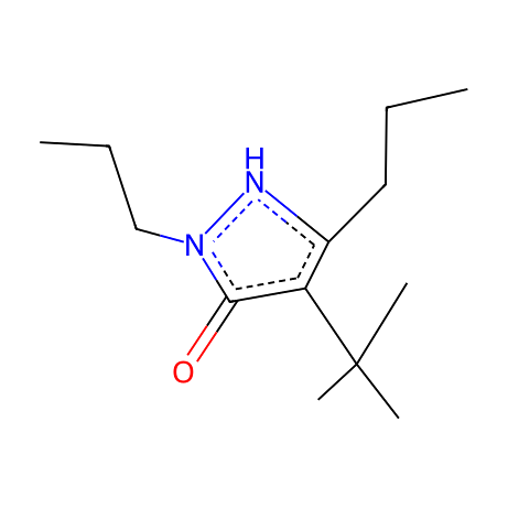 CCCc1[nH]n(CCC)c(=O)c1C(C)(C)C